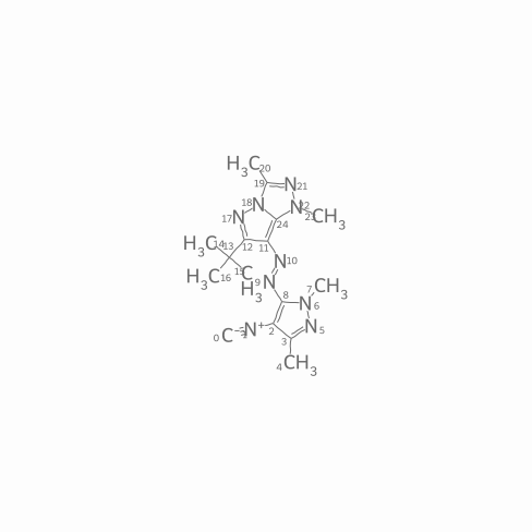 [C-]#[N+]c1c(C)nn(C)c1/N=N/c1c(C(C)(C)C)nn2c(C)nn(C)c12